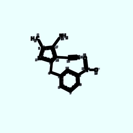 Cn1nc(Cc2cccc([N+](=O)[O-])c2)c(C#N)c1N